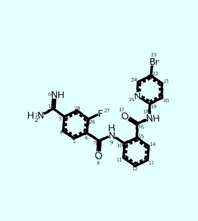 N=C(N)c1ccc(C(=O)Nc2ccccc2C(=O)Nc2ccc(Br)cn2)c(F)c1